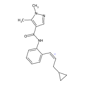 Cc1c(C(=O)Nc2ccccc2/C=C\CC2CC2)cnn1C